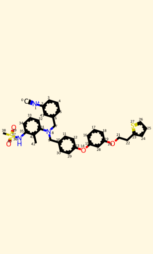 [C-]#[N+]c1cccc(CN(Cc2ccc(Oc3cccc(OCCc4cccs4)c3)cc2)c2cccc(NS(C)(=O)=O)c2C)c1